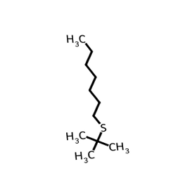 CCCCCCCSC(C)(C)C